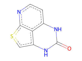 O=C1Nc2ccnc3scc(c23)N1